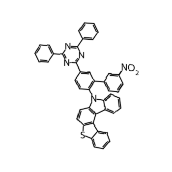 O=[N+]([O-])c1cccc(-c2cc(-c3nc(-c4ccccc4)nc(-c4ccccc4)n3)ccc2-n2c3ccccc3c3c4c(ccc32)sc2ccccc24)c1